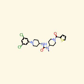 CN(C(=O)NC1CCN(c2cc(Cl)cc(Cl)c2)CC1)C1CCN(C(=O)c2cccs2)CC1